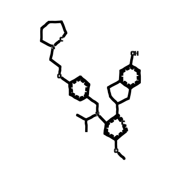 COc1ccc(C2CCc3cc(O)ccc3C2)c(N(Cc2ccc(OCCN3CCCCCC3)cc2)C(C)C)c1